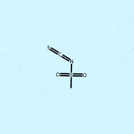 CS(=O)(=O)N=C=S